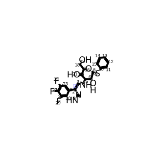 N=N/C(=C\NC1C(O)[C@@H](Sc2ccccc2)OC(CO)[C@@H]1O)c1cc(F)c(F)c(F)c1